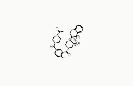 [2H]C1([2H])c2ccccc2CCN1[C@H]1CCN(C(=O)c2cc(NC3CCN(C(C)=O)CC3)ncc2F)C[C@@H]1O